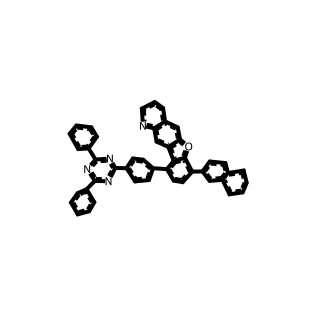 c1ccc(-c2nc(-c3ccccc3)nc(-c3ccc(-c4ccc(-c5ccc6ccccc6c5)c5oc6cc7cccnc7cc6c45)cc3)n2)cc1